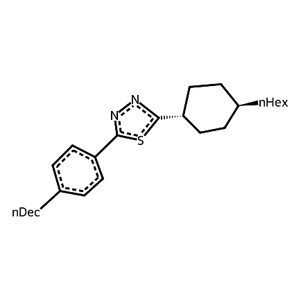 CCCCCCCCCCc1ccc(-c2nnc([C@H]3CC[C@H](CCCCCC)CC3)s2)cc1